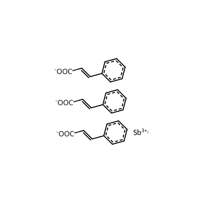 O=C([O-])C=Cc1ccccc1.O=C([O-])C=Cc1ccccc1.O=C([O-])C=Cc1ccccc1.[Sb+3]